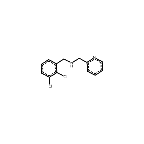 Clc1cccc(CNCc2ccccn2)c1Cl